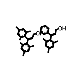 Cc1cc(C)c(C(=CCO)c2c(C)cc(C)cc2C)c(C)c1.Cc1cc(C)c(C(=CCO)c2ccccc2)c(C)c1